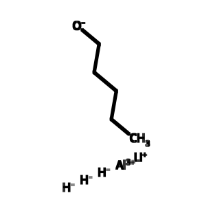 CCCCC[O-].[Al+3].[H-].[H-].[H-].[Li+]